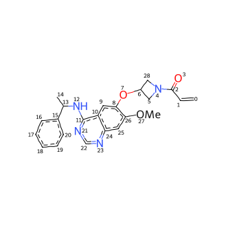 C=CC(=O)N1CC(Oc2cc3c(NC(C)c4ccccc4)ncnc3cc2OC)C1